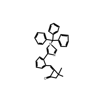 CC1(C)CC(=O)C1=Cc1ccccc1-c1cn(C(c2ccccc2)(c2ccccc2)c2ccccc2)cn1